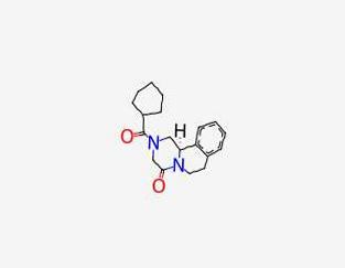 O=C(C1CCCCC1)N1CC(=O)N2CCc3ccccc3[C@@H]2C1